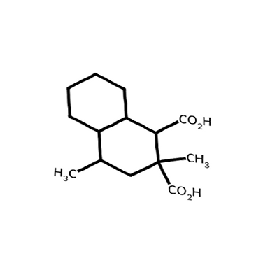 CC1CC(C)(C(=O)O)C(C(=O)O)C2CCCCC12